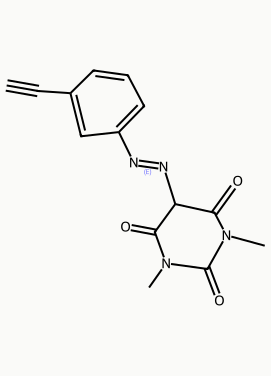 C#Cc1cccc(/N=N/C2C(=O)N(C)C(=O)N(C)C2=O)c1